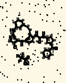 O=C(Nc1ccc2cc1CCc1cccc(c1)Nc1ncc(Cl)c(n1)N2)N[C@H]1CCN(C(=O)c2ccccc2)C1.O=C(O)C(F)(F)F